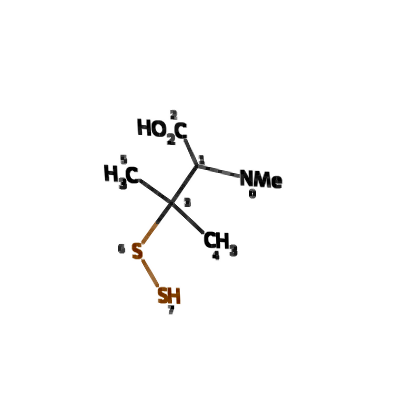 CNC(C(=O)O)C(C)(C)SS